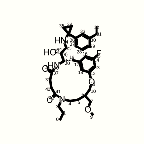 CCCN1CCC(COC)COc2cc(F)cc(c2)C[C@@H]([C@H](O)CNC2(c3cccc(CC)c3)CC2)NC(=O)CCC1=O